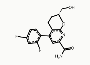 NC(=O)c1cc(-c2ccc(F)cc2F)c2c(n1)O[C@@H](CO)CC2